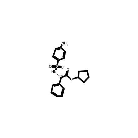 Nc1ccc(S(=O)(=O)N[C@H](C(=O)OC2CCCC2)c2ccccc2)cc1